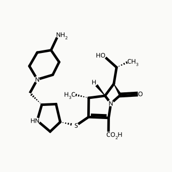 C[C@@H](O)[C@H]1C(=O)N2C(C(=O)O)=C(S[C@@H]3CN[C@H](CN4CCC(N)CC4)C3)[C@H](C)[C@H]12